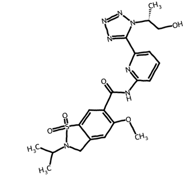 COc1cc2c(cc1C(=O)Nc1cccc(-c3nnnn3[C@H](C)CO)n1)S(=O)(=O)N(C(C)C)C2